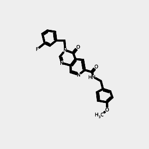 COc1ccc(CNC(=O)c2cc3c(=O)n(Cc4cccc(F)c4)cnc3cn2)cc1